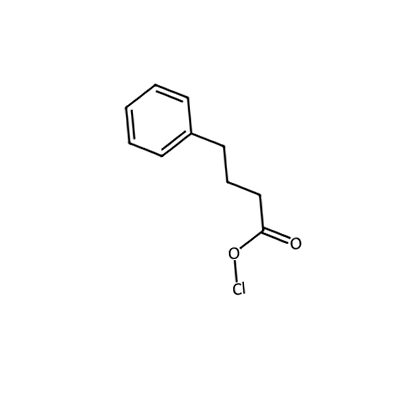 O=C(CCCc1ccccc1)OCl